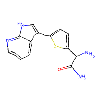 NC(=O)C(N)c1ccc(-c2c[nH]c3ncccc23)s1